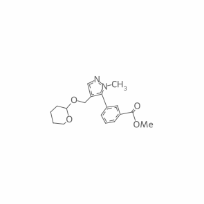 COC(=O)c1cccc(-c2c(COC3CCCCO3)cnn2C)c1